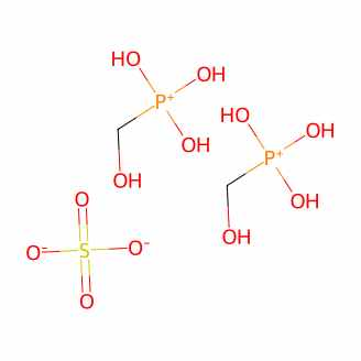 O=S(=O)([O-])[O-].OC[P+](O)(O)O.OC[P+](O)(O)O